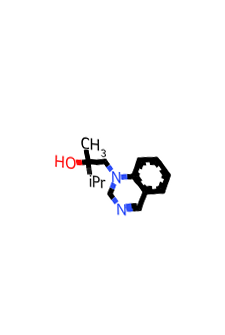 CC(C)C(C)(O)CN1CN=Cc2ccccc21